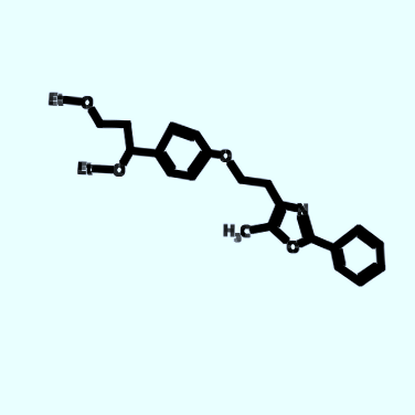 CCOCCC(OCC)c1ccc(OCCc2nc(-c3ccccc3)oc2C)cc1